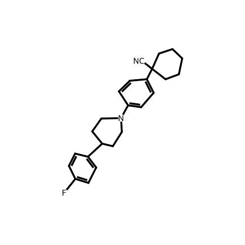 N#CC1(c2ccc(N3CCC(c4ccc(F)cc4)CC3)cc2)CCCCC1